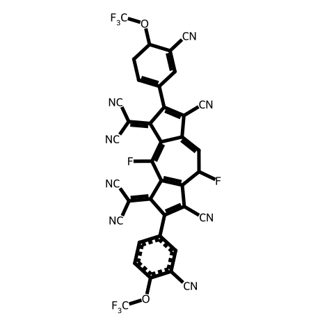 N#CC1=CC(C2=C(C#N)C3=CC(F)C4=C(C(F)=C3C2=C(C#N)C#N)C(=C(C#N)C#N)C(c2ccc(OC(F)(F)F)c(C#N)c2)=C4C#N)=CCC1OC(F)(F)F